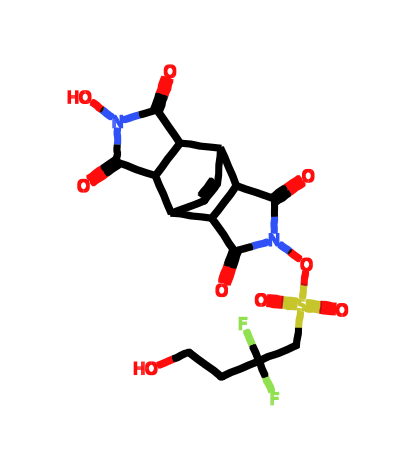 O=C1C2C3C=CC(C2C(=O)N1O)C1C(=O)N(OS(=O)(=O)CC(F)(F)CCO)C(=O)C31